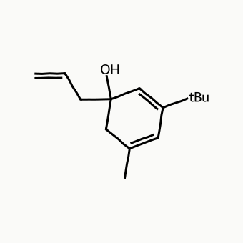 C=CCC1(O)C=C(C(C)(C)C)C=C(C)C1